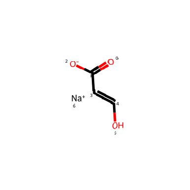 O=C([O-])C=CO.[Na+]